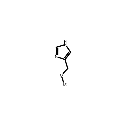 CCOCc1c[nH][c]n1